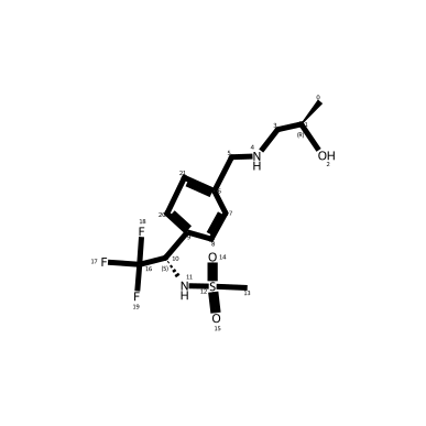 C[C@@H](O)CNCc1ccc([C@H](NS(C)(=O)=O)C(F)(F)F)cc1